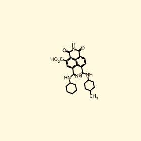 CC1CCC(NC(=O)c2ccc3c4c(c(C(=O)O)cc(C(=N)NC5CCCCC5)c24)C(=O)NC3=O)CC1